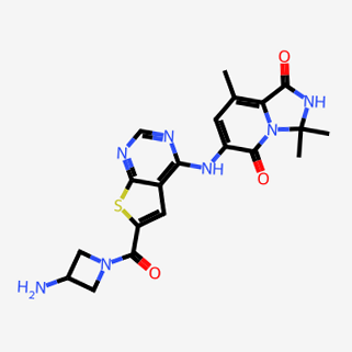 Cc1cc(Nc2ncnc3sc(C(=O)N4CC(N)C4)cc23)c(=O)n2c1C(=O)NC2(C)C